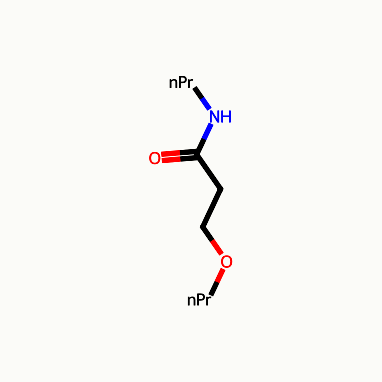 CCCNC(=O)CCOCCC